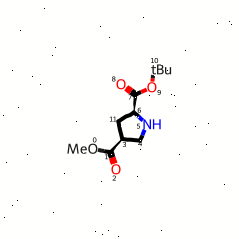 COC(=O)[C@@H]1CN[C@H](C(=O)OC(C)(C)C)C1